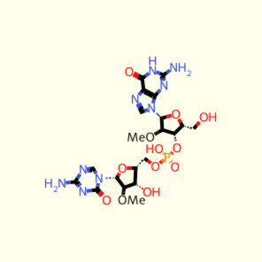 COC1[C@@H](O)[C@@H](COP(=O)(O)O[C@@H]2C(OC)[C@H](n3cnc4c(=O)[nH]c(N)nc43)O[C@@H]2CO)O[C@H]1n1cnc(N)nc1=O